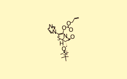 C=CCOC(=O)OC1=C(n2ccnc2)S[C@@H]2[C@@H](CO[Si](C)(C)C(C)(C)C)C(=O)N12